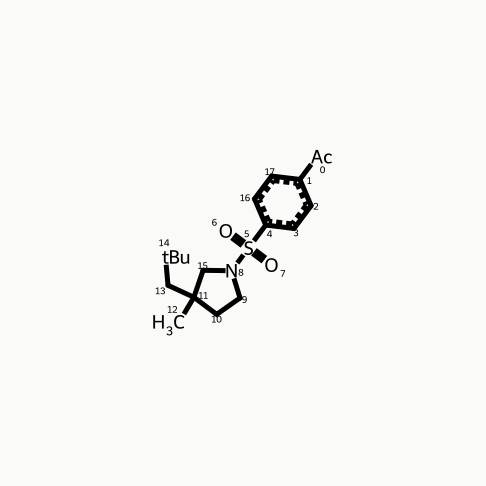 CC(=O)c1ccc(S(=O)(=O)N2CCC(C)(CC(C)(C)C)C2)cc1